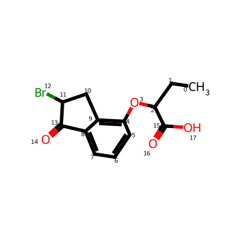 CCC(Oc1cccc2c1CC(Br)C2=O)C(=O)O